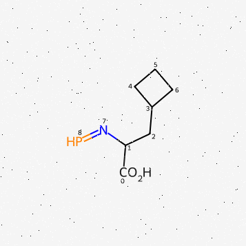 O=C(O)C(CC1CCC1)N=P